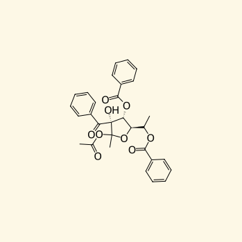 CC(=O)OC1(C)O[C@H](C(C)OC(=O)c2ccccc2)[C@@H](OC(=O)c2ccccc2)[C@]1(O)C(=O)c1ccccc1